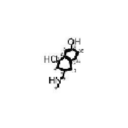 CNCC1CCc2cc(O)ccc2C1.Cl